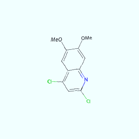 COc1cc2nc(Cl)cc(Cl)c2cc1OC